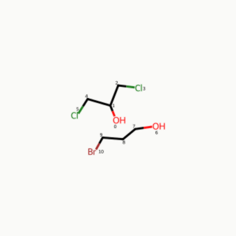 OC(CCl)CCl.OCCCBr